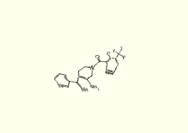 N=C(C1=C(N)CN(C(=O)c2cccc(C(F)(F)F)c2Cl)CC1)c1cccnc1